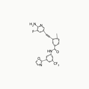 Cc1ccc(C(=O)Nc2cc(-c3ncco3)cc(C(F)(F)F)c2)cc1C#Cc1cnc(N)c(F)c1